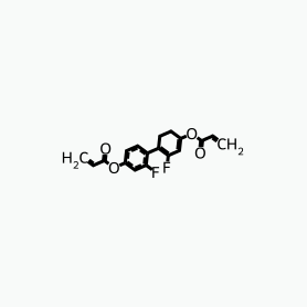 C=CC(=O)OC1=CC(F)=C(c2ccc(OC(=O)C=C)cc2F)CC1